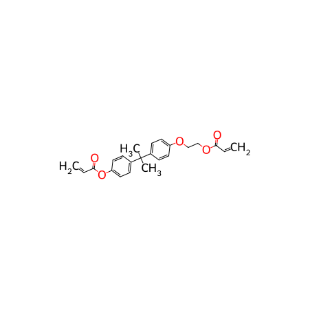 C=CC(=O)OCCOc1ccc(C(C)(C)c2ccc(OC(=O)C=C)cc2)cc1